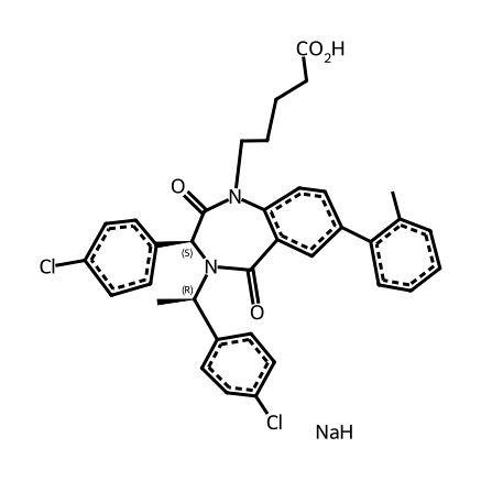 Cc1ccccc1-c1ccc2c(c1)C(=O)N([C@H](C)c1ccc(Cl)cc1)[C@@H](c1ccc(Cl)cc1)C(=O)N2CCCCC(=O)O.[NaH]